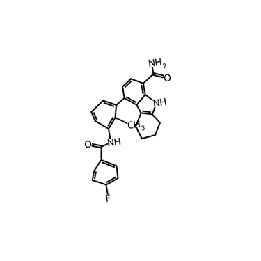 Cc1c(NC(=O)c2ccc(F)cc2)cccc1-c1ccc(C(N)=O)c2[nH]c3c(c12)CCCC3